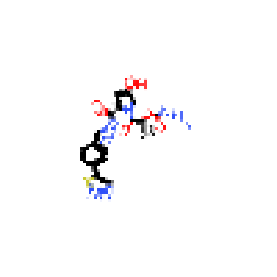 CC(C)(C)[C@H](OC(N)=O)C(=O)N1C[C@@H](O)C[C@H]1C(=O)NCc1ccc(-c2cnns2)cc1